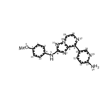 COc1ccc(Nc2nc3c(-c4ccc(N)nc4)nccn3n2)cc1